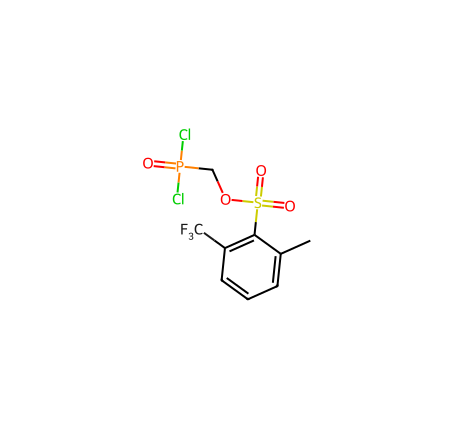 Cc1cccc(C(F)(F)F)c1S(=O)(=O)OCP(=O)(Cl)Cl